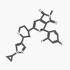 CN1C(=O)c2cc(C3CCOC(c4cnn(C5CC5)c4)C3)nc(-c3ccc(F)cc3F)c2C1=O